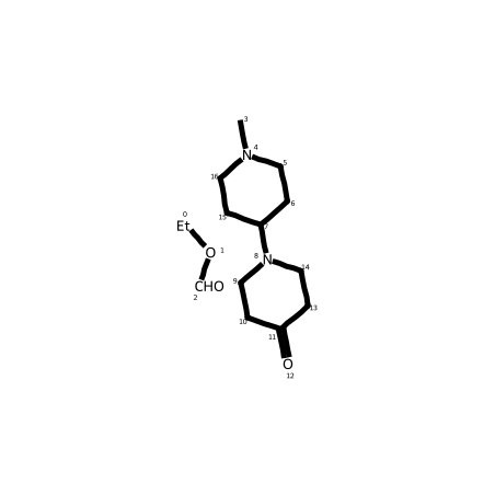 CCOC=O.CN1CCC(N2CCC(=O)CC2)CC1